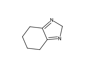 C1CCC2=NCN=C2C1